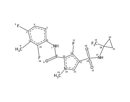 Cc1c(F)ccc(NC(=O)c2c(F)c(S(=O)(=O)NC3(C(F)(F)F)CC3)cn2C)c1F